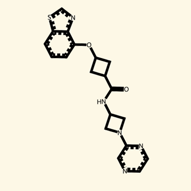 O=C(NC1CN(c2cnccn2)C1)C1CC(Oc2cccc3scnc23)C1